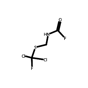 O=C(F)NCSC(F)(Cl)Cl